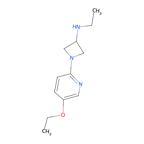 CCNC1CN(c2ccc(OCC)cn2)C1